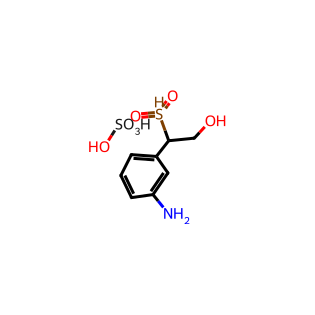 Nc1cccc(C(CO)[SH](=O)=O)c1.O=S(=O)(O)O